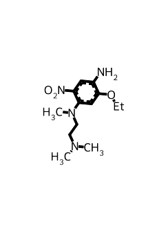 CCOc1cc(N(C)CCN(C)C)c([N+](=O)[O-])cc1N